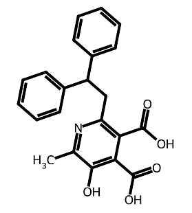 Cc1nc(CC(c2ccccc2)c2ccccc2)c(C(=O)O)c(C(=O)O)c1O